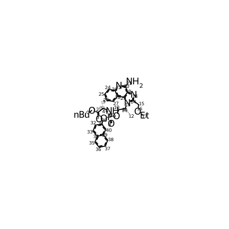 CCCCOC(=O)[C@H](C)NP(=O)(OC[C@@H](C)n1c(COCC)nc2c(N)nc3ccccc3c21)Oc1ccc2ccccc2c1